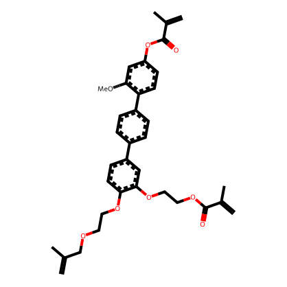 C=C(C)COCCOc1ccc(-c2ccc(-c3ccc(OC(=O)C(=C)C)cc3OC)cc2)cc1OCCOC(=O)C(=C)C